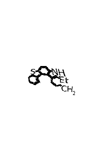 C=C/C=C\c1c(CC)[nH]c2ccc3sc4ccccc4c3c12